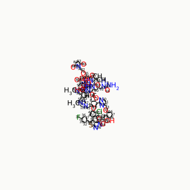 COc1ccccc1-c1nccc(COc2ccccc2C[C@@H](Oc2ncnc3sc(-c4ccc(F)cc4)c(-c4ccc(OCCN5CC[N+](C)(Cc6ccc(NC(=O)C(CCCNC(N)=O)NC(=O)C(NC(=O)CCOCCN7C(=O)C=CC7=O)C(C)C)cc6CN(C)C(=O)CC(NC(=O)OCCC(=O)O)C(=O)O)CC5)c(Cl)c4C)c23)C(=O)O)n1